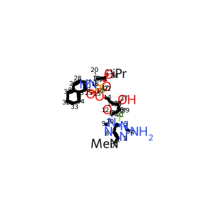 CNc1nc(N)nc2c1ncn2[C@@H]1OC(COP(=S)(N[C@H](C)C(=O)OC(C)C)Oc2cccc3ccccc23)[C@@H](O)[C@@]1(C)F